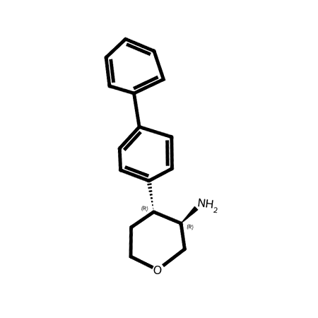 N[C@H]1COCC[C@@H]1c1ccc(-c2ccccc2)cc1